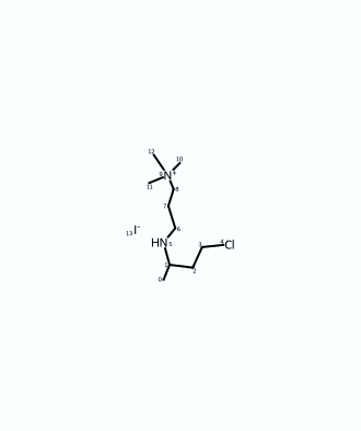 CC(CCCl)NCCC[N+](C)(C)C.[I-]